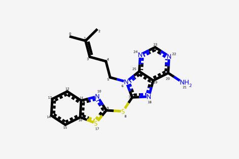 CC(C)=CCCn1c(Sc2nc3ccccc3s2)nc2c(N)ncnc21